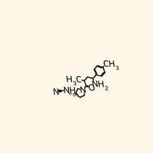 Cc1ccc(C(N)CC(C)C(=O)N2CC[C@H](CNC#N)C2)cc1